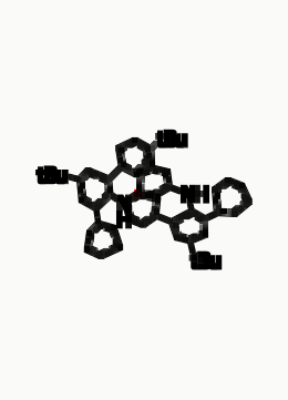 CC(C)(C)Cc1cc(Nc2c(-c3ccccc3)cc(C(C)(C)C)cc2-c2ccccc2)cc(Nc2c(-c3ccccc3)cc(C(C)(C)C)cc2-c2ccccc2)c1